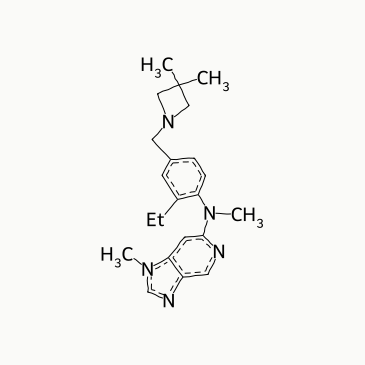 CCc1cc(CN2CC(C)(C)C2)ccc1N(C)c1cc2c(cn1)ncn2C